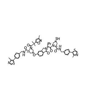 Cc1cc(C(C)(C)C(=O)N2C[C@H](Oc3ccc4c(c3)CN([C@H](C(=O)N3C[C@H](S)C[C@H]3C(=O)NCc3ccc(-c5scnc5C)cc3)C(C)C)C4=O)C[C@H]2C(=O)NCc2ccc(-c3scnc3C)cc2)on1